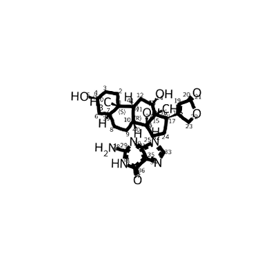 C[C@]12CC[C@H](O)C[C@H]1CC[C@@H]1[C@@H]2C[C@@H](O)[C@]2(C)[C@@H](C3=CC(=O)OC3)CC[C@]12O.Nc1nc2[nH]cnc2c(=O)[nH]1